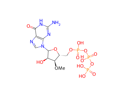 CO[C@@H]1[C@@H](COP(=O)(O)OP(=O)(O)OP(=O)(O)O)OC(n2cnc3c(=O)[nH]c(N)nc32)[C@@H]1O